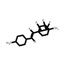 CC1CCC(/C(F)=C(\F)C23CCC(C)(CC2)C(F)(F)C3F)CC1